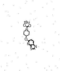 CC(C)(C)OC(=O)N1CCC(Oc2ccc3n[c]sc3n2)CC1